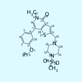 CC(C)Oc1cccc(-c2cn(C)c(=O)c3cc(CN4CCN(S(C)(=O)=O)CC4)sc23)c1